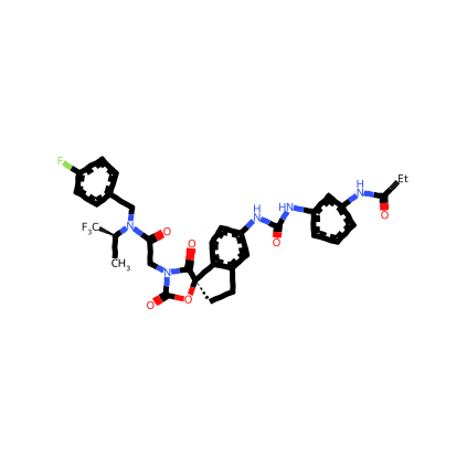 CCC(=O)Nc1cccc(NC(=O)Nc2ccc3c(c2)CC[C@@]32OC(=O)N(CC(=O)N(Cc3ccc(F)cc3)[C@@H](C)C(F)(F)F)C2=O)c1